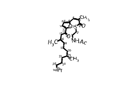 CC(=O)NCCSC(=O)C(C)=Cc1ccc(C(=O)CC(C)CCCC(C)CCCC(C)C)o1